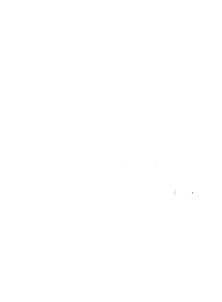 CCCCCCC(=O)C(=O)Sc1ccccc1